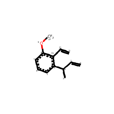 C=C[C](C)c1cccc(OC(F)(F)F)c1C=C